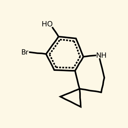 Oc1cc2c(cc1Br)C1(CCN2)CC1